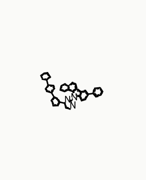 c1ccc(-c2ccc(-c3cccc(-c4ccnc(-n5c6ccc(-c7ccccc7)cc6c6ccc7ccccc7c65)n4)c3)cc2)cc1